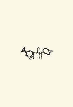 CN1CCC(NC(=O)c2cc(C3CC3)cnn2)CC1